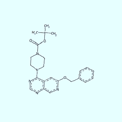 CC(C)(C)OC(=O)N1CCN(c2ncnc3cnc(OCc4ccccc4)cc23)CC1